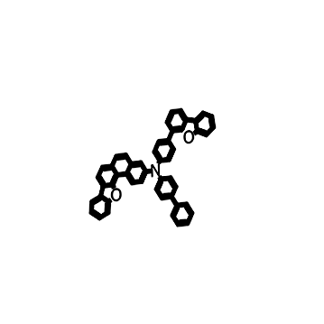 c1ccc(-c2ccc(N(c3ccc(-c4cccc5c4oc4ccccc45)cc3)c3ccc4c(ccc5ccc6c7ccccc7oc6c54)c3)cc2)cc1